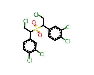 O=S(=O)(C(CCl)c1ccc(Cl)c(Cl)c1)C(CCl)c1ccc(Cl)c(Cl)c1